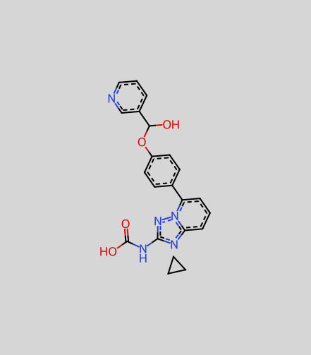 C1CC1.O=C(O)Nc1nc2cccc(-c3ccc(OC(O)c4cccnc4)cc3)n2n1